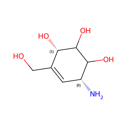 N[C@@H]1C=C(CO)[C@H](O)C(O)C1O